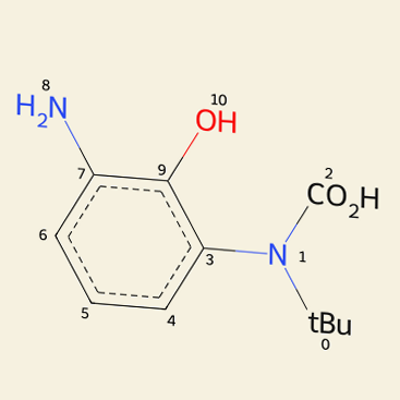 CC(C)(C)N(C(=O)O)c1cccc(N)c1O